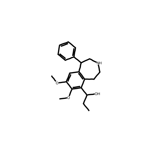 CCC(O)c1c2c(cc(OC)c1OC)C(c1ccccc1)CNCC2